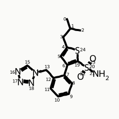 CC(C)Cc1cc(-c2ccccc2Cn2cnnn2)c(S(N)(=O)=O)s1